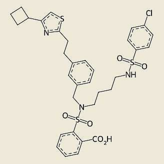 O=C(O)c1ccccc1S(=O)(=O)N(CCCCNS(=O)(=O)c1ccc(Cl)cc1)Cc1cccc(CCc2nc(C3CCC3)cs2)c1